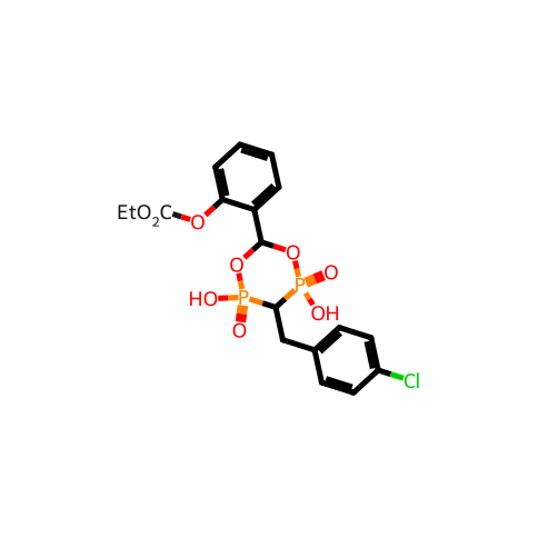 CCOC(=O)Oc1ccccc1C1OP(=O)(O)C(Cc2ccc(Cl)cc2)P(=O)(O)O1